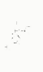 Cc1cnc(NC(=O)C(C)C)cn1